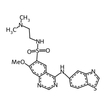 COc1cc2ncnc(Nc3ccc4scnc4c3)c2cc1S(=O)(=O)NCCN(C)C